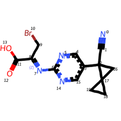 N#CC1(c2cnc(/N=C(\CBr)C(=O)O)nc2)CC12CC2